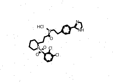 CN(CCc1ccc(C2=NCCN2)cc1)C(=O)CCC1CCCCN1S(=O)(=O)c1cccc(Cl)c1Cl.Cl